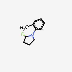 Cc1ccc[c]c1N1CCCC1F